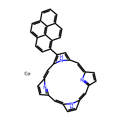 C1=Cc2cc3cc(-c4ccc5ccc6cccc7ccc4c5c67)c(cc4nc(cc5ccc(cc1n2)[nH]5)C=C4)[nH]3.[Co]